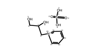 O=S(=O)(O)O.OCC(O)C[n+]1ccccc1